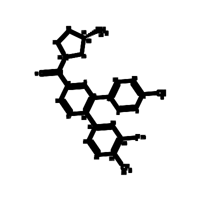 N#Cc1ccc(-c2cc(C(=O)N3CC[C@H](N)C3)ccc2-c2ccc(C(F)(F)F)c(F)c2)cc1